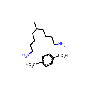 CC(CCCCN)CCCCN.O=C(O)c1ccc(C(=O)O)cc1